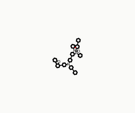 O=P1(c2ccc(-c3ccccc3)cc2)N(c2ccccc2)c2ccc(-c3ccc(N(c4ccc(-c5ccccc5)cc4)c4ccc(-c5cccc6c5oc5ccccc56)cc4)cc3)cc2N1c1ccccc1